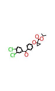 CC(C)OC(=O)C1(Oc2ccc(C(=O)c3ccc(Cl)c(Cl)c3)cc2)CC1